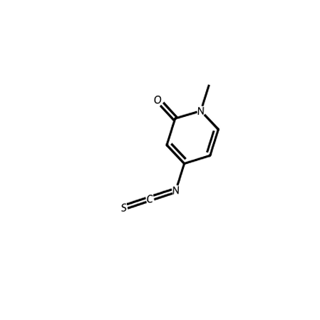 Cn1ccc(N=C=S)cc1=O